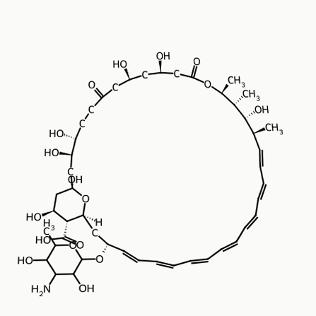 CC1OC(O[C@H]2/C=C/C=C/C=C/C=C/C=C/C=C/C=C/[C@H](C)[C@@H](O)[C@@H](C)[C@H](C)OC(=O)C[C@H](O)C[C@H](O)CC(=O)CC[C@@H](O)[C@H](O)C[C@]3(O)C[C@H](O)[C@@H](C(=O)O)[C@H](C2)O3)C(O)C(N)C1O